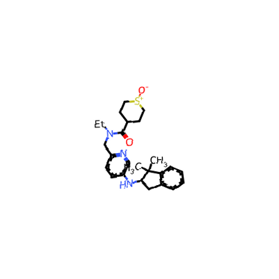 CCN(Cc1ccc(NC2Cc3ccccc3C2(C)C)cn1)C(=O)C1CC[S+]([O-])CC1